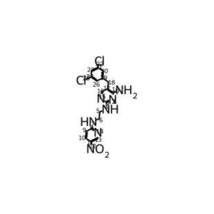 Nc1nc(NCCNc2ccc([N+](=O)[O-])cn2)ncc1Cc1cc(Cl)cc(Cl)c1